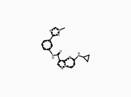 Cn1cnc(-c2cccc(NC(=O)c3cnn4ccc(NC5CC5)nc34)c2)n1